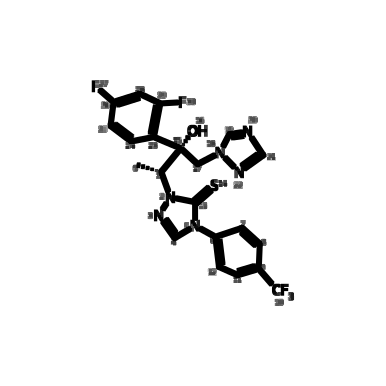 C[C@@H](n1ncn(-c2ccc(C(F)(F)F)cc2)c1=S)[C@](O)(Cn1cncn1)c1ccc(F)cc1F